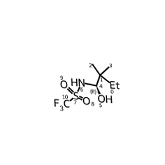 CCC(C)(C)[C@@H](O)NS(=O)(=O)C(F)(F)F